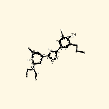 CCCc1cc(-c2noc(-c3cc(C)nc(N(CC)CC)c3)n2)cc(C)c1O